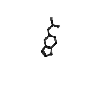 FC(F)CN1CCc2sccc2C1